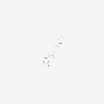 CC(C)(C)OC(=O)N1CCN(C(=O)Nc2cccc(F)c2)CC1